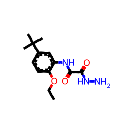 CCOc1ccc(C(C)(C)C)cc1NC(=O)C(=O)NN